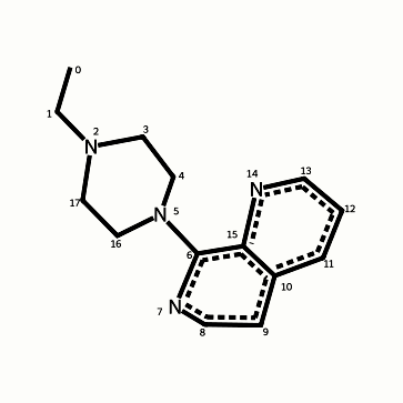 CCN1CCN(c2nccc3cccnc23)CC1